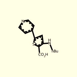 CCCCNc1cc(-c2ccncc2)sc1C(=O)O